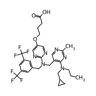 CCCN(CC1CC1)c1nc(C)ncc1CN(Cc1cc(C(F)(F)F)cc(C(F)(F)F)c1)c1ncc(OCCCC(=O)O)cn1